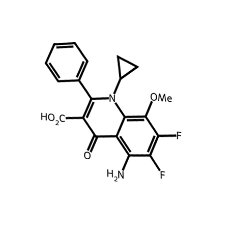 COc1c(F)c(F)c(N)c2c(=O)c(C(=O)O)c(-c3ccccc3)n(C3CC3)c12